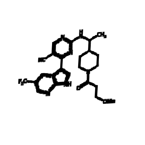 COCCC(=O)N1CCC(C(C)Nc2ncc(C#N)c(-c3c[nH]c4ncc(C(F)(F)F)cc34)n2)CC1